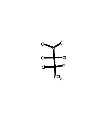 ClN(Cl)C(Cl)(Cl)C(Cl)(Cl)C(Cl)(Cl)Cl